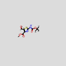 COC(=O)c1nc(NC(=O)OC(C)(C)C)sc1C=O